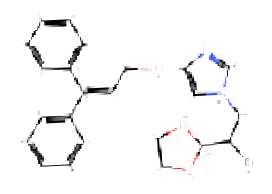 BCC=C(c1ccccc1)c1ccccc1.CCC(Cn1ccnc1)C1OCCO1